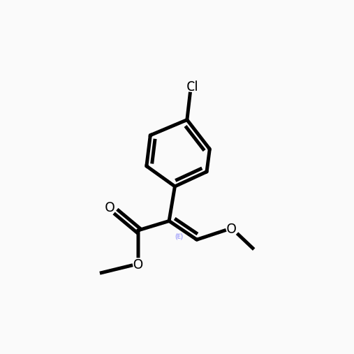 CO/C=C(/C(=O)OC)c1ccc(Cl)cc1